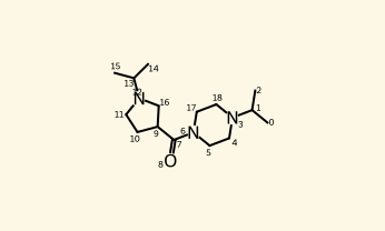 CC(C)N1CCN(C(=O)C2CCN(C(C)C)C2)CC1